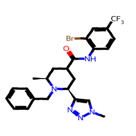 C[C@H]1CC(C(=O)Nc2ccc(C(F)(F)F)cc2Br)C[C@@H](c2cn(C)nn2)N1Cc1ccccc1